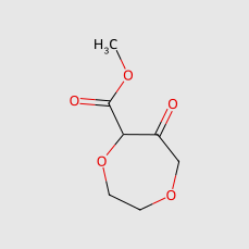 COC(=O)C1OCCOCC1=O